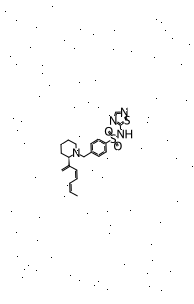 C=C(/C=C\C=C/C)[C@H]1CCCCN1Cc1ccc(S(=O)(=O)Nc2ncns2)cc1